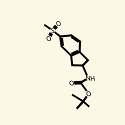 CC(C)(C)OC(=O)NC1Cc2ccc(S(C)(=O)=O)cc2C1